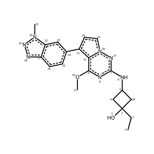 CCC1(O)CC(Nc2nc(OC)c3c(-c4ccc5nnn(C)c5c4)ccn3n2)C1